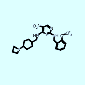 O=[N+]([O-])c1cnc(NCc2ccccc2OC(F)(F)F)nc1NCC1CCC(N2C[CH]C2)CC1